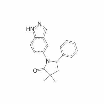 CC1(C)CC(c2ccccc2)N(c2ccc3[nH]ncc3c2)C1=O